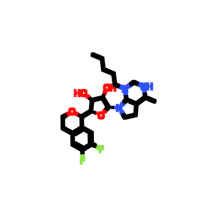 CCCCCN1CNC(C)C2CCN([C@@H]3O[C@H]([C@@H]4OCCc5cc(F)c(F)cc54)[C@@H](O)[C@H]3O)C21